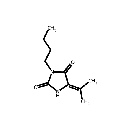 CCCCN1C(=O)NC(=C(C)C)C1=O